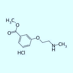 CNCCOc1cccc(C(=O)OC)c1.Cl